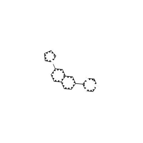 c1ccn(-c2ccc3ccc(-c4ncncn4)cc3c2)c1